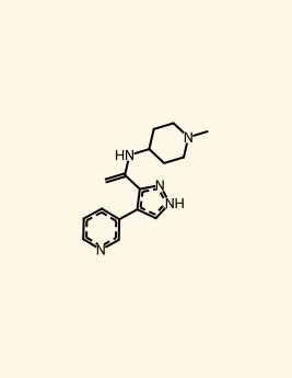 C=C(NC1CCN(C)CC1)c1n[nH]cc1-c1cccnc1